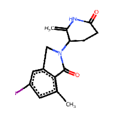 C=C1NC(=O)CCC1N1Cc2cc(I)cc(C)c2C1=O